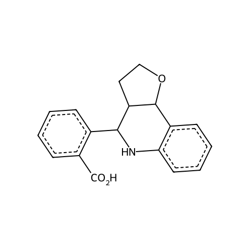 O=C(O)c1ccccc1C1Nc2ccccc2C2OCCC12